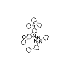 c1ccc(-c2cccc(-c3nc(-c4ccccc4)nc(-n4c5ccc(S(c6ccccc6)(c6ccccc6)c6ccccc6)cc5c5cc6oc7ccccc7c6cc54)n3)c2)cc1